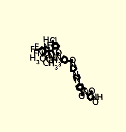 CC(C)(C)C[C@@H]1N[C@@H](C(=O)NC2CCC(C(=O)N3CCC(N4CCN(c5ccc6c(c5)CN(C5CCC(=O)NC5=O)C6=O)CC4)CC3)CC2)[C@H](c2cccc(Cl)c2F)[C@]12CNc1cc(C(F)(F)F)ncc12